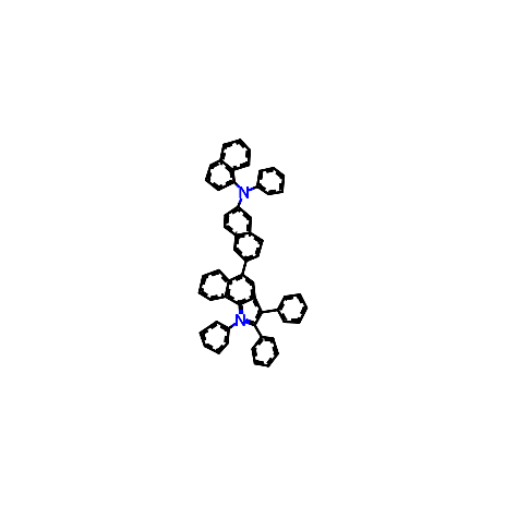 c1ccc(-c2c(-c3ccccc3)n(-c3ccccc3)c3c2cc(-c2ccc4cc(N(c5ccccc5)c5cccc6ccccc56)ccc4c2)c2ccccc23)cc1